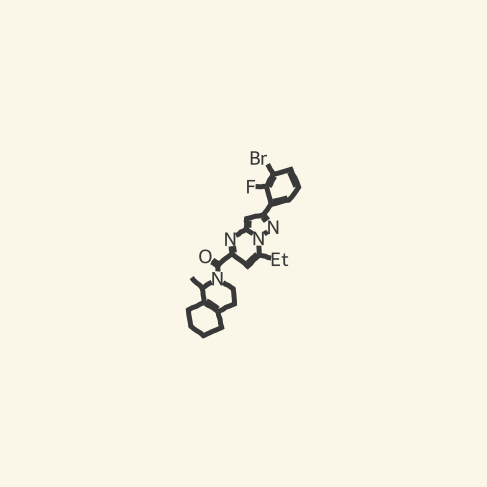 CCc1cc(C(=O)N2CCC3=C(CCCC3)C2C)nc2cc(-c3cccc(Br)c3F)nn12